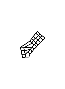 C1C2C3C4C5C6C7C8CC9C%10CC%11C%12C%13C%14C%15C%16C%17CC1C%171C2C32C%161C%151C42C52C63C74C98C%10%11C%124C%133C%1412